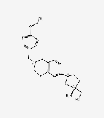 CCOc1ccc(C[C@H]2CCc3cc([C@H]4CC[C@](N)(CO)C4)ccc3C2)cc1